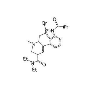 CCN(CC)C(=O)C1C=C2c3cccc4c3c(c(Br)n4C(=O)C(C)C)CC2N(C)C1